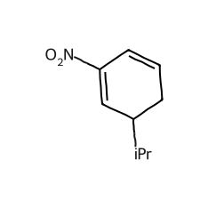 CC(C)C1C=C([N+](=O)[O-])C=CC1